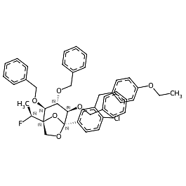 CCOc1ccc(Cc2cc([C@]34OC[C@]([C@H](C)F)(O3)[C@@H](OCc3ccccc3)[C@H](OCc3ccccc3)[C@H]4OCc3ccccc3)ccc2Cl)cc1